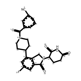 N#Cc1cccc(C(=O)N2CCC(c3cc(F)cc4c3CN(C3CCC(=O)NC3=O)C4=O)CC2)c1